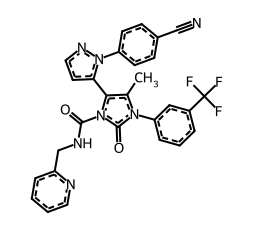 Cc1c(-c2ccnn2-c2ccc(C#N)cc2)n(C(=O)NCc2ccccn2)c(=O)n1-c1cccc(C(F)(F)F)c1